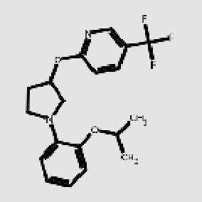 CC(C)Oc1ccccc1N1CCC(Oc2ccc(C(F)(F)F)cn2)C1